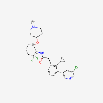 CC(C)N1CCC(O[C@H]2CCCC(F)(F)[C@@H]2NC(=O)Cc2cccc(-c3cncc(Cl)c3)c2C2CC2)CC1